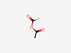 CC(=O)OC(=O)F